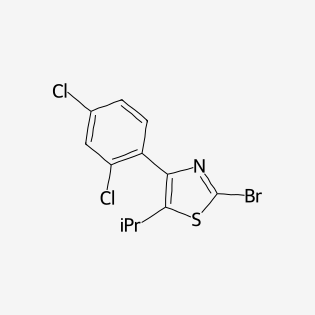 CC(C)c1sc(Br)nc1-c1ccc(Cl)cc1Cl